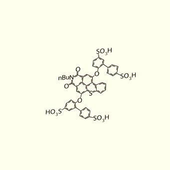 CCCCn1c(=O)c2cc(Oc3ccc(S(=O)(=O)O)cc3-c3ccc(S(=O)(=O)O)cc3)c3sc4ccccc4c4c(Oc5ccc(S(=O)(=O)O)cc5-c5ccc(S(=O)(=O)O)cc5)cc(c1=O)c2c34